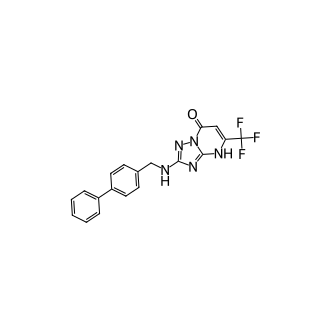 O=c1cc(C(F)(F)F)[nH]c2nc(NCc3ccc(-c4ccccc4)cc3)nn12